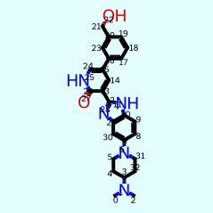 CN(C)C1CCN(c2ccc3[nH]c(-c4cc(-c5cccc(CO)c5)c[nH]c4=O)nc3c2)CC1